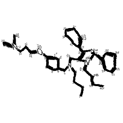 CCCCN(Cc1ccc(OCCCN(C)C)cc1)Cc1c(-c2ccccc2)nc(-c2ccccc2)n1CCCC